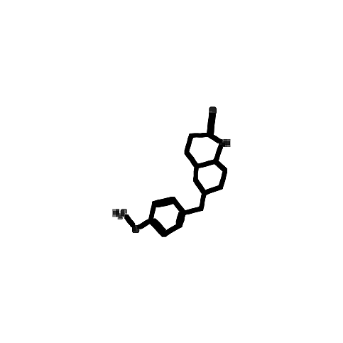 COc1ccc(CC2CCC3NC(=O)CCC3C2)cc1